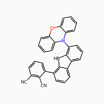 N#Cc1cccc(-c2cccc3c2Bc2c-3cccc2N2c3ccccc3Oc3ccccc32)c1C#N